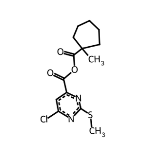 CSc1nc(Cl)cc(C(=O)OC(=O)C2(C)CCCCC2)n1